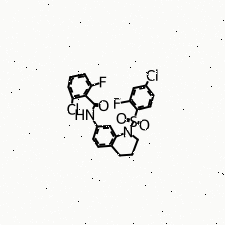 O=C(Nc1ccc2c(c1)N(S(=O)(=O)c1ccc(Cl)cc1F)CCC2)c1c(F)cccc1Cl